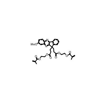 C=C(C)C(=O)OCCOC(=O)CCC1(CCC(=O)OCCOC(=O)C(=C)C)c2ccccc2-c2nc3ccc(OC)cc3nc21